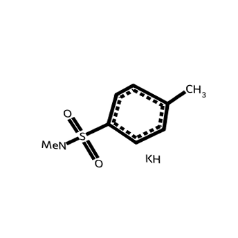 CNS(=O)(=O)c1ccc(C)cc1.[KH]